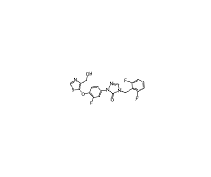 O=c1n(Cc2c(F)cccc2F)cnn1-c1ccc(Oc2scnc2CO)c(F)c1